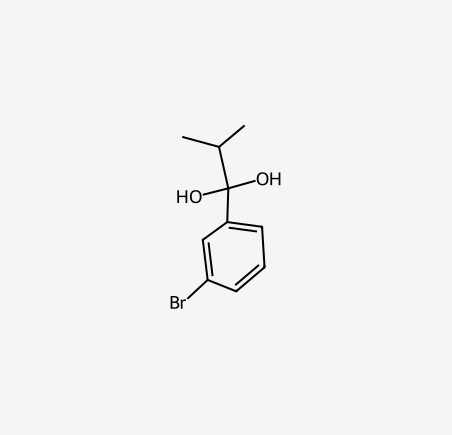 CC(C)C(O)(O)c1cccc(Br)c1